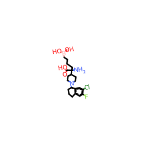 NC(CCCCB(O)O)(C(=O)O)C1CCN(C2CCCc3cc(F)c(Cl)cc32)CC1